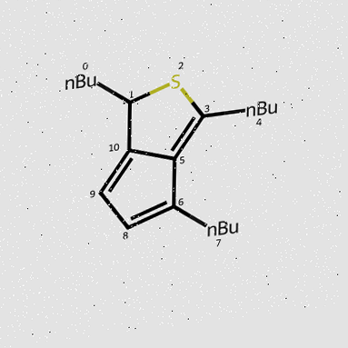 CCCC[C]1SC(CCCC)=C2C(CCCC)=CC=C12